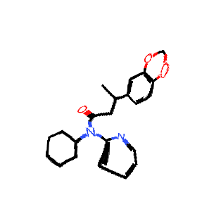 CC(CC(=O)N(c1ccccn1)C1CCCCC1)c1ccc2c(c1)OCO2